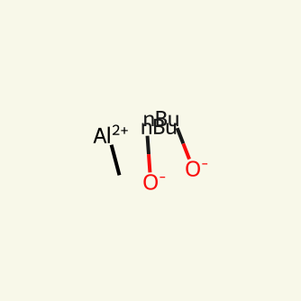 CCCC[O-].CCCC[O-].[CH3][Al+2]